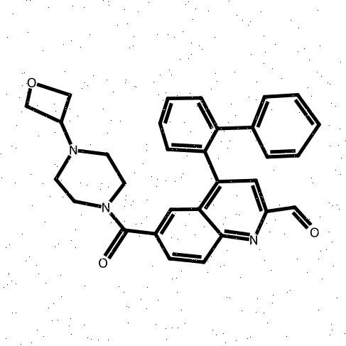 O=Cc1cc(-c2ccccc2-c2ccccc2)c2cc(C(=O)N3CCN(C4COC4)CC3)ccc2n1